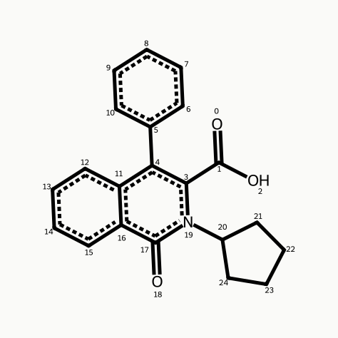 O=C(O)c1c(-c2ccccc2)c2ccccc2c(=O)n1C1CCCC1